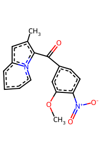 COc1cc(C(=O)c2c(C)cc3ccccn23)ccc1[N+](=O)[O-]